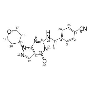 N#Cc1ccc(C2Cn3c(nc4c(cnn4C4CCOCC4)c3=O)N2)cc1